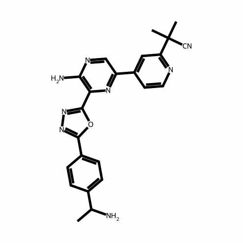 CC(N)c1ccc(-c2nnc(-c3nc(-c4ccnc(C(C)(C)C#N)c4)cnc3N)o2)cc1